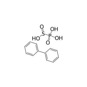 O=S(O)P(=O)(O)O.c1ccc(-c2ccccc2)cc1